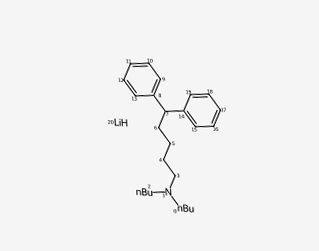 CCCCN(CCCC)CCCCC(c1ccccc1)c1ccccc1.[LiH]